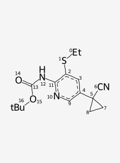 CCSc1cc(C2(C#N)CC2)cnc1NC(=O)OC(C)(C)C